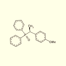 COc1ccc([C@H](C)P(=O)(c2ccccc2)c2ccccc2)cc1